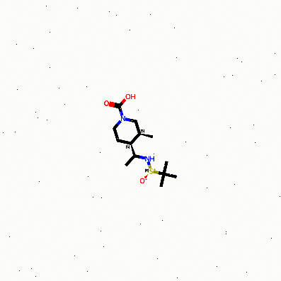 CC(N[S@@+]([O-])C(C)(C)C)[C@H]1CCN(C(=O)O)C[C@H]1C